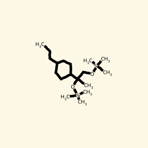 CCCC1CCC(C(C)(CO[Si](C)(C)C)O[Si](C)(C)C)CC1